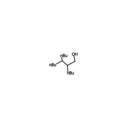 CCCCC(CO)C(CCCC)CCCC